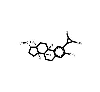 CO[C@H]1CC[C@H]2[C@@H]3CCc4cc(C)c(C5C(C)C5C)cc4[C@H]3CC[C@]12C